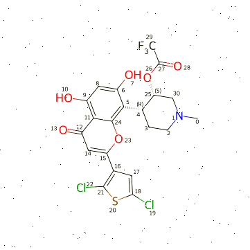 CN1CC[C@H](c2c(O)cc(O)c3c(=O)cc(-c4cc(Cl)sc4Cl)oc23)[C@H](OC(=O)C(F)(F)F)C1